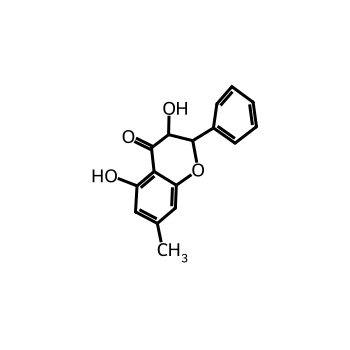 Cc1cc(O)c2c(c1)OC(c1ccccc1)C(O)C2=O